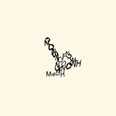 COCC1(C(=O)Nc2ccc3[nH]nc(-c4ccnc(F)c4)c3c2)CCN(CC(=O)N2CCN(c3ccc(-c4ccccn4)cc3)CC2)C1